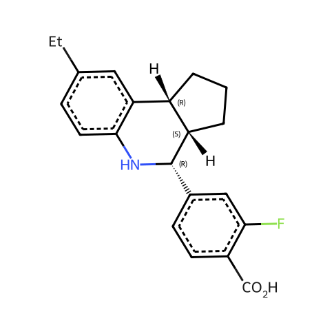 CCc1ccc2c(c1)[C@@H]1CCC[C@@H]1[C@H](c1ccc(C(=O)O)c(F)c1)N2